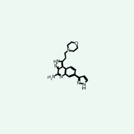 Nc1nc2cc(-c3cc[nH]n3)ccc2c2c(CCN3CCOCC3)[nH]nc12